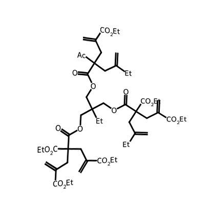 C=C(CC)CC(CC(=C)C(=O)OCC)(C(C)=O)C(=O)OCC(CC)(COC(=O)C(CC(=C)CC)(CC(=C)C(=O)OCC)C(=O)OCC)COC(=O)C(CC(=C)C(=O)OCC)(CC(=C)C(=O)OCC)C(=O)OCC